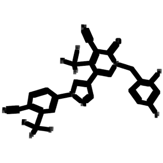 N#Cc1ccc(-n2cc(-c3cn(Cc4ccc(F)cc4F)c(=O)c(C#N)c3C(F)(F)F)cn2)cc1C(F)(F)F